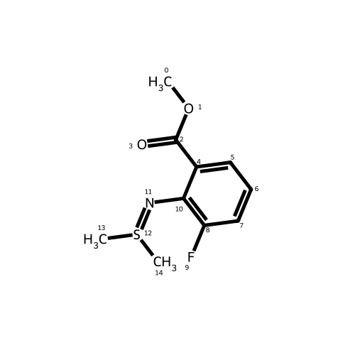 COC(=O)c1cccc(F)c1N=S(C)C